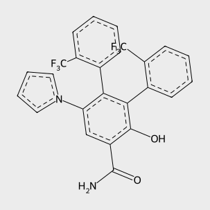 NC(=O)c1cc(-n2cccc2)c(-c2ccccc2C(F)(F)F)c(-c2ccccc2C(F)(F)F)c1O